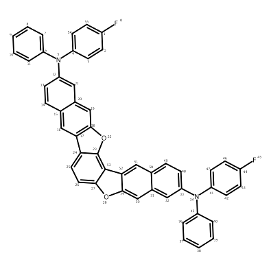 Fc1ccc(N(c2ccccc2)c2ccc3cc4c(cc3c2)oc2c4ccc3oc4cc5cc(N(c6ccccc6)c6ccc(F)cc6)ccc5cc4c32)cc1